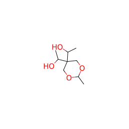 CC1OCC(C(C)O)(C(C)O)CO1